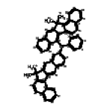 CC1(C)c2cc3cc(N(c4ccccc4)c4c5c(cc6ccccc46)C(C)(C)c4c-5ccc5ccccc45)ccc3cc2-c2c1ccc1ccccc21